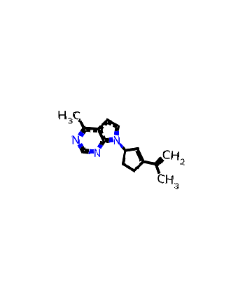 C=C(C)C1=CC(n2ccc3c(C)ncnc32)CC1